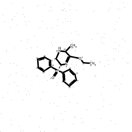 CCOC1=N[C@H](P(=O)(c2ccccc2)c2ccccc2)CNC1C